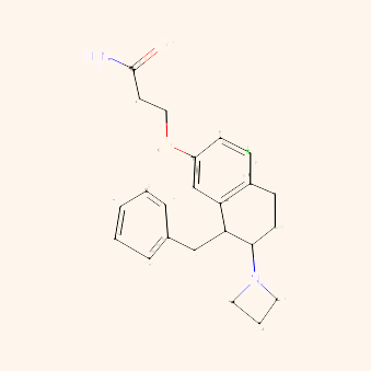 Cl.NC(=O)CCOc1ccc2c(c1)C(Cc1ccccc1)C(N1CCC1)CC2